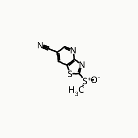 C[S+]([O-])c1nc2ncc(C#N)cc2s1